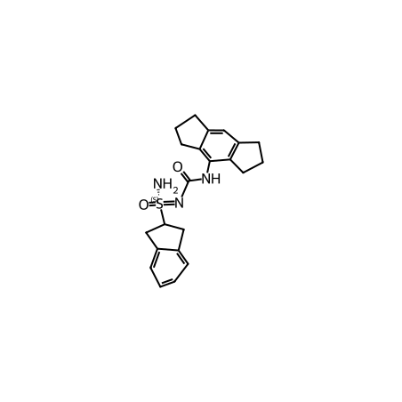 N[S@](=O)(=NC(=O)Nc1c2c(cc3c1CCC3)CCC2)C1Cc2ccccc2C1